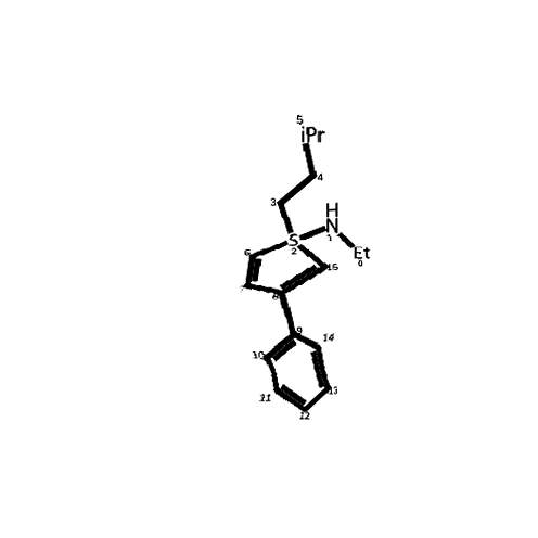 CCNS1(CCC(C)C)C=CC(c2ccccc2)=C1